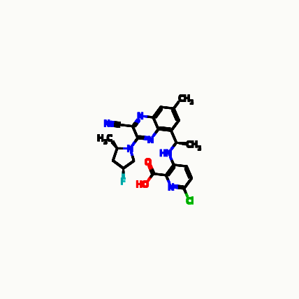 Cc1cc([C@@H](C)Nc2ccc(Cl)nc2C(=O)O)c2nc(N3C[C@@H](F)C[C@H]3C)c(C#N)nc2c1